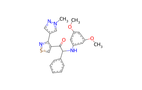 COc1cc(NC(C(=O)c2csnc2-c2cnn(C)c2)c2ccccc2)cc(OC)c1